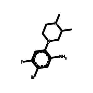 CC1CN(c2cc(F)c(Br)cc2N)CCN1C